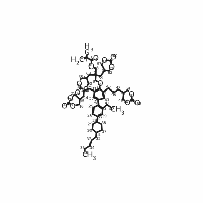 C=C(C)C(=O)OCC(COc1c(CCCC2COC(=O)OC2)cc(-c2ccc(C3CCC(CCCCC)CC3)cc2CC)cc1CCCC1COC(=O)OC1)(CC1COC(=O)OC1)CC1COC(=O)OC1